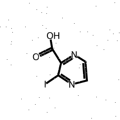 O=C(O)c1nccnc1I